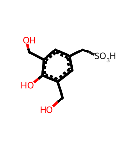 O=S(=O)(O)Cc1cc(CO)c(O)c(CO)c1